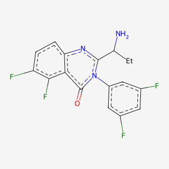 CCC(N)c1nc2ccc(F)c(F)c2c(=O)n1-c1cc(F)cc(F)c1